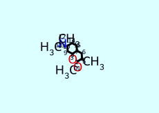 COC(=O)C(C)CC1CCC(N(C)C)CC1